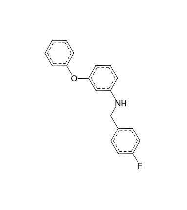 Fc1ccc(CNc2cccc(Oc3ccccc3)c2)cc1